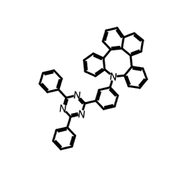 c1ccc(-c2nc(-c3ccccc3)nc(-c3cccc(N4c5ccccc5-c5cccc6cccc(c56)-c5ccccc54)c3)n2)cc1